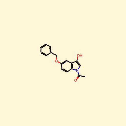 CC(=O)n1cc(O)c2cc(OCc3ccccc3)ccc21